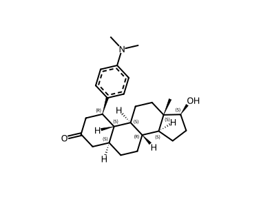 CN(C)c1ccc([C@@H]2CC(=O)C[C@@H]3CC[C@@H]4[C@H](CC[C@]5(C)[C@@H](O)CC[C@@H]45)[C@H]32)cc1